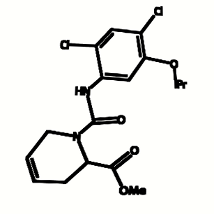 COC(=O)C1CC=CCN1C(=O)Nc1cc(OC(C)C)c(Cl)cc1Cl